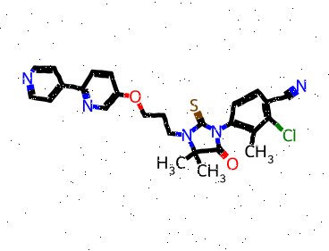 Cc1c(N2C(=O)C(C)(C)N(CCCOc3ccc(-c4ccncc4)nc3)C2=S)ccc(C#N)c1Cl